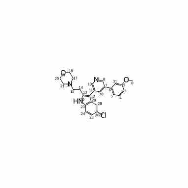 COc1cccc(-c2cncc(-c3c(CCN4CCOCC4)[nH]c4ccc(Cl)cc34)c2)c1